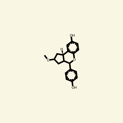 COC1CC2C(c3ccc(O)cc3)Oc3ccc(O)cc3[C@H]2C1